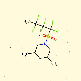 CC1CC(C)CN(S(=O)(=O)C(F)(F)C(F)(F)C(C)(F)F)C1